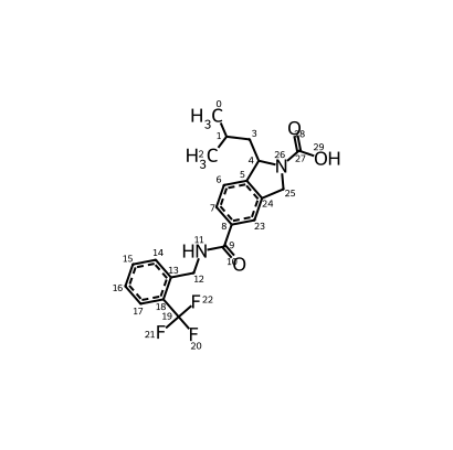 CC(C)CC1c2ccc(C(=O)NCc3ccccc3C(F)(F)F)cc2CN1C(=O)O